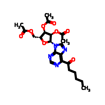 CCCCCC(=O)c1ncnc2c1ncn2[C@@H]1O[C@H](COC(C)=O)[C@@H](OC(C)=O)[C@H]1OC(C)=O